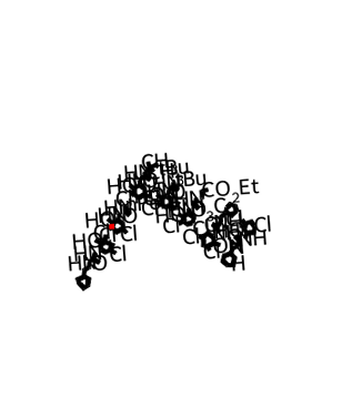 CC(C)(C)CC(C)(C)NC(=O)Nc1cc(Cl)cc(Cl)c1O.CC(C)(C)NC(=O)Nc1cc(Cl)cc(Cl)c1O.CCCCCNC(=O)Nc1cc(Cl)cc(Cl)c1O.CCOC(=O)CCNC(=O)Nc1cc(Cl)cc(Cl)c1O.Cc1ccccc1CNC(=O)Nc1cc(Cl)cc(Cl)c1O.O=C(NCCc1ccccc1)Nc1cc(Cl)cc(Cl)c1O.O=C(NCc1ccccc1)Nc1cc(Cl)cc(Cl)c1O